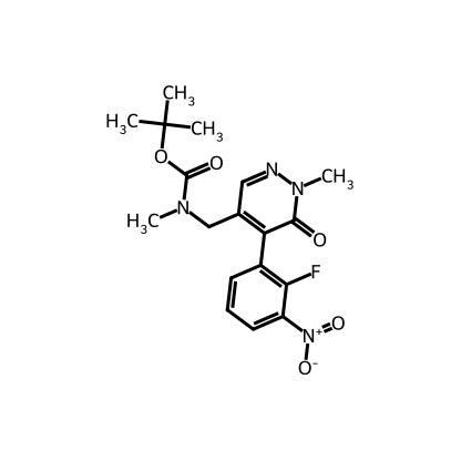 CN(Cc1cnn(C)c(=O)c1-c1cccc([N+](=O)[O-])c1F)C(=O)OC(C)(C)C